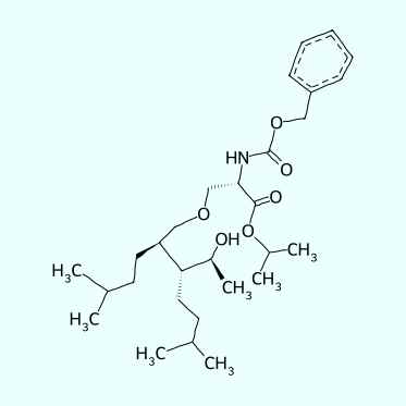 CC(C)CC[C@@H](COC[C@H](NC(=O)OCc1ccccc1)C(=O)OC(C)C)[C@@H](CCC(C)C)[C@H](C)O